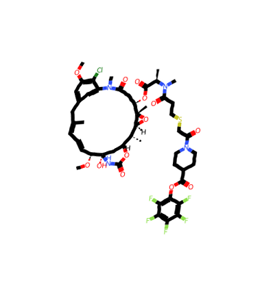 COc1cc2cc(c1Cl)N(C)C(=O)C[C@H](OC(=O)[C@@H](C)N(C)C(=O)CCSCC(=O)N1CCC(C(=O)Oc3c(F)c(F)c(F)c(F)c3F)CC1)[C@]1(C)O[C@H]1[C@H](C)[C@@H]1C[C@@](O)(NC(=O)O1)[C@H](OC)/C=C/C=C(\C)C2